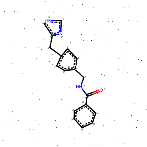 O=C(NCc1ccc(Cc2c[nH]cn2)cc1)c1ccccc1